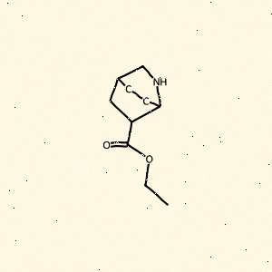 CCOC(=O)C1CC2CCC1NC2